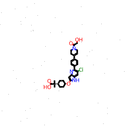 CC(C)(C(=O)O)[C@H]1CC[C@H](Oc2cc3nc(-c4ccc(C5=CCN(C(=O)CO)CC5)cc4)c(Cl)cc3[nH]2)CC1